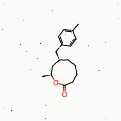 Cc1ccc(C[C@H]2CCCCC(=O)O[C@@H](C)C2)cc1